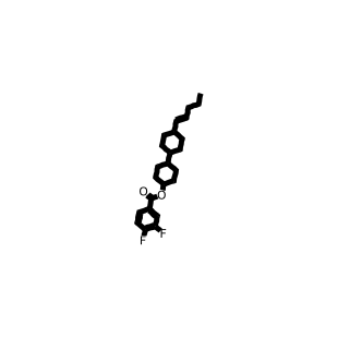 CCCC=CC1CCC(C2CCC(OC(=O)c3ccc(F)c(F)c3)CC2)CC1